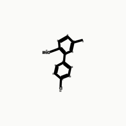 COc1[c]cc(C)cc1-c1ccc(Cl)cc1